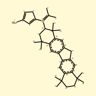 C[C](C)=[Zr]([C]1=CC(C(C)(C)C)=CC1)[CH]1CC(C)(C)c2cc3c(cc2C1(C)C)Cc1cc2c(cc1-3)C(C)(C)CCC2(C)C